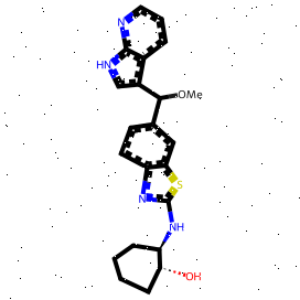 COC(c1ccc2nc(N[C@@H]3CCCC[C@H]3O)sc2c1)c1c[nH]c2ncccc12